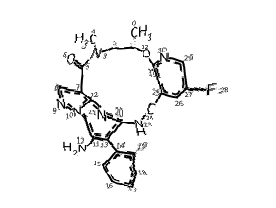 C[C@H]1CN(C)C(=O)c2cnn3c(N)c(-c4ccccc4)c(nc23)NCc2cc(F)cnc2O1